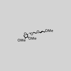 COC/C=C/OCCOC[C@H]1OCC(OC)C1OC